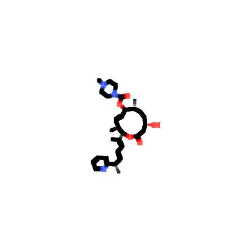 C/C(=C\C=C\[C@H](C)c1ccccn1)[C@H]1OC(=O)C[C@@H](O)CC[C@@H](C)[C@H](OC(=O)N2CCN(C)CC2)/C=C/[C@@H]1C